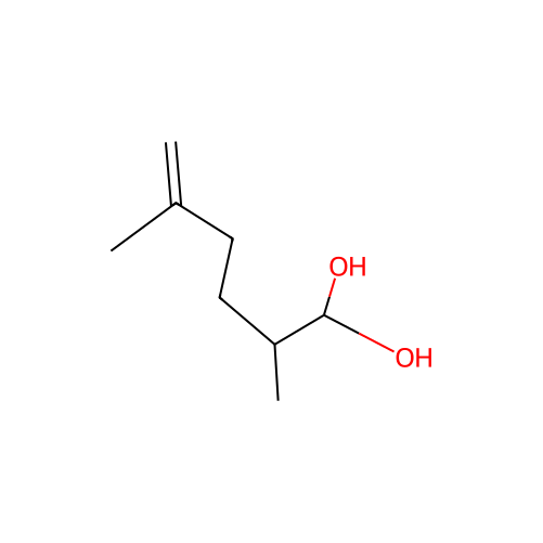 C=C(C)CCC(C)C(O)O